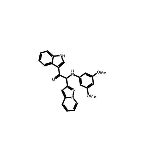 COc1cc(NC(C(=O)c2c[nH]c3ccccc23)c2cc3ccccn3n2)cc(OC)c1